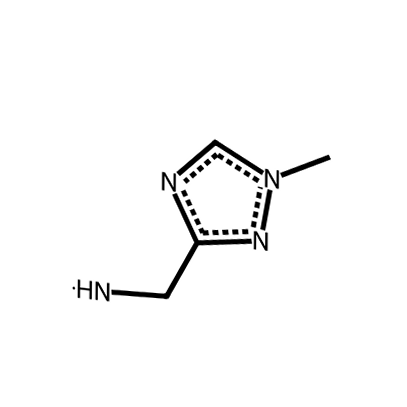 Cn1cnc(C[NH])n1